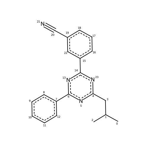 CC(C)Cc1nc(-c2ccccc2)nc(-c2cccc(C#N)c2)n1